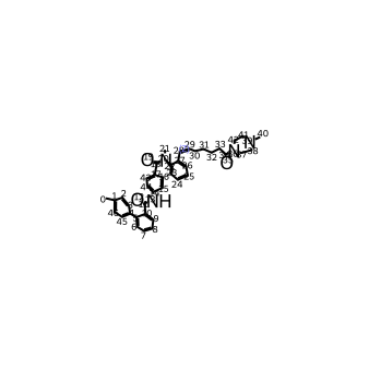 Cc1ccc(-c2ccccc2C(=O)Nc2ccc(C(=O)N(C)c3ccccc3/C=C\CCCCC(=O)N3CCN(C)CC3)cc2)cc1